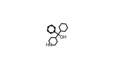 OC(c1ccccc1)(C1CCCCC1)C1CCNCC1